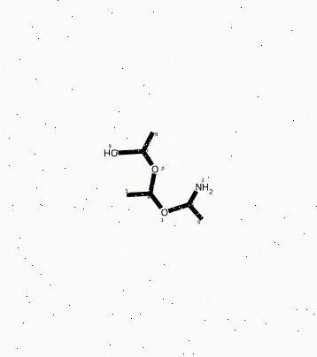 CC(N)OC(C)OC(C)O